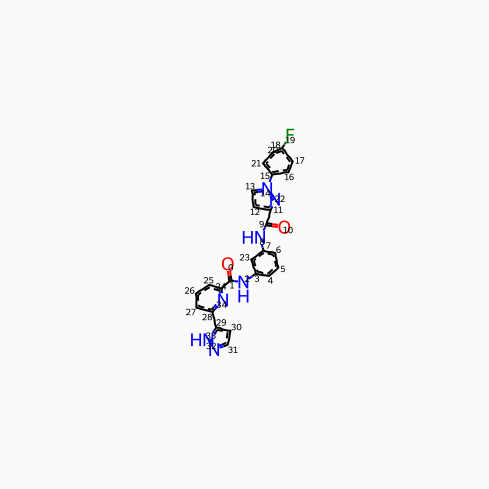 O=C(Nc1cccc(NC(=O)c2ccn(-c3ccc(F)cc3)n2)c1)c1cccc(-c2ccn[nH]2)n1